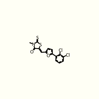 CN1C(=O)C(=Cc2ccc(-c3cccc(Cl)c3Cl)o2)SC1=S